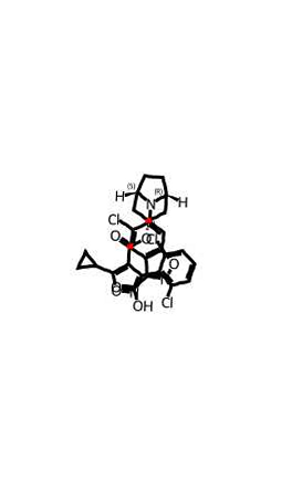 O=C(O[C@H]1C[C@H]2CC[C@@H](C1)N2c1cc2onc(C(=O)O)c2cc1Cl)c1c(-c2c(Cl)cccc2Cl)noc1C1CC1